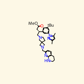 COC(=O)C[C@H](CN1CCC2(C1)CN(Cc1ccc3c(n1)NCCC3)C2)c1cc(-n2nc(C)cc2C)cc(C(C)(C)C)c1